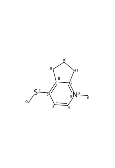 CSc1cc[n+](C)c2c1CCC2